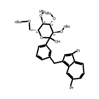 CCCCOC[C@H]1OC(O)(c2cccc(Cc3cc(CC)c4cccc(C(C)C)cc3-4)c2)[C@H](OCCCC)[C@@H](OCCCC)[C@@H]1OCCCC